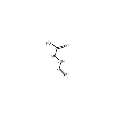 CC(=O)NN[C]=N